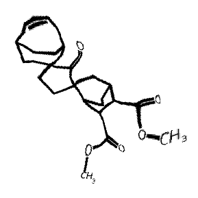 COC(=O)C1C2CC(C1C(=O)OC)C1(CCC3(CC4C=CC3C4)C1=O)C2